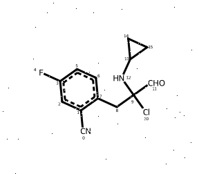 N#Cc1cc(F)[c]cc1CC(Cl)(C=O)NC1CC1